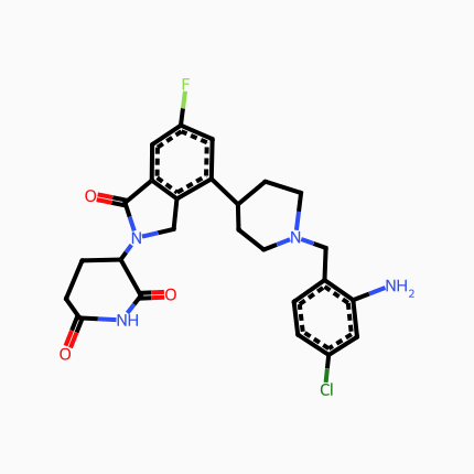 Nc1cc(Cl)ccc1CN1CCC(c2cc(F)cc3c2CN(C2CCC(=O)NC2=O)C3=O)CC1